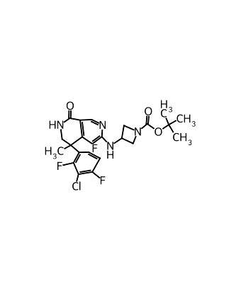 CC(C)(C)OC(=O)N1CC(Nc2ncc3c(c2F)C(C)(c2ccc(F)c(Cl)c2F)CNC3=O)C1